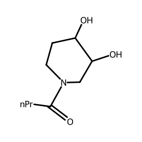 CCCC(=O)N1CCC(O)C(O)C1